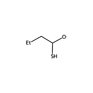 CCCC([O])S